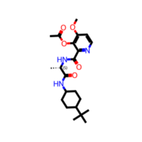 COc1ccnc(C(=O)N[C@@H](C)C(=O)NC2CCC(C(C)(C)C)CC2)c1OC(C)=O